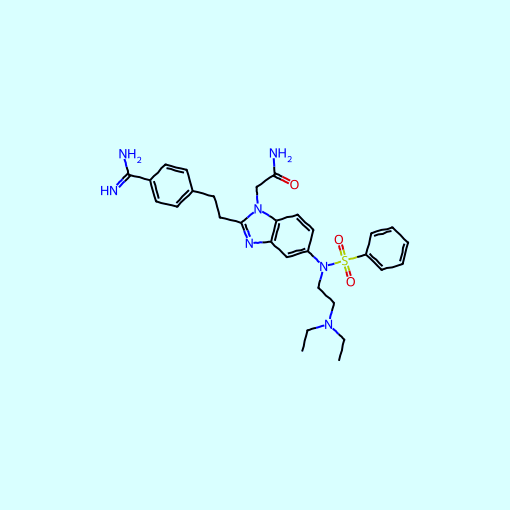 CCN(CC)CCN(c1ccc2c(c1)nc(CCc1ccc(C(=N)N)cc1)n2CC(N)=O)S(=O)(=O)c1ccccc1